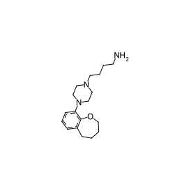 NCCCCN1CCN(c2cccc3c2OCCCC3)CC1